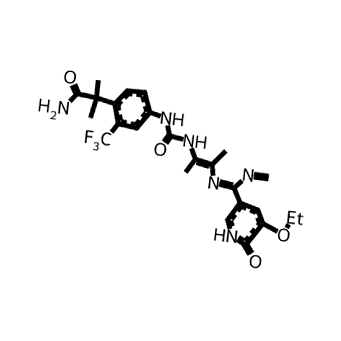 C=N/C(=N\C(C)=C(/C)NC(=O)Nc1ccc(C(C)(C)C(N)=O)c(C(F)(F)F)c1)c1c[nH]c(=O)c(OCC)c1